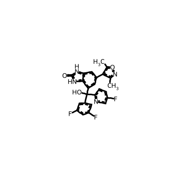 Cc1noc(C)c1-c1cc(C(O)(c2cc(F)cc(F)c2)c2ccc(F)cn2)c2[nH]c(=O)[nH]c2c1